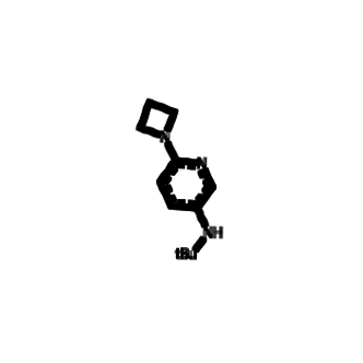 CC(C)(C)Nc1ccc(N2CCC2)nc1